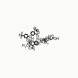 CC(C)N1C(=O)c2ccccc2NS1(=O)=O.C[S+](C)C.O=C(O)CNCP(=O)([O-])O.O=C(O)c1cc(Oc2ccc(C(F)(F)F)cc2Cl)ccc1[N+](=O)[O-]